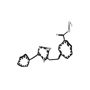 COC(=O)c1cccc(Cc2nc(-c3ccccc3)n[nH]2)c1